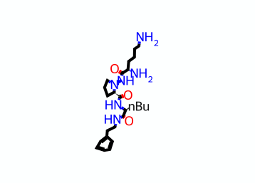 CCCC[C@@H](NC(=O)[C@@H]1CCCN1NC(=O)[C@@H](N)CCCCN)C(=O)NCCc1ccccc1